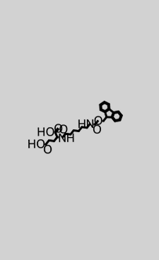 O=C(O)CCC(NC(=O)CCCCCNC(=O)OCC1c2ccccc2-c2ccccc21)C(=O)O